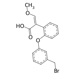 COC=C(C(=O)O)c1ccccc1Oc1cccc(CBr)c1